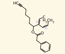 C#CCCCCC(OC(=O)Cc1ccccc1)C(/C=C\C)=C/C